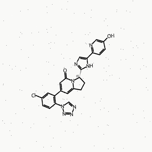 O=c1cc(-c2cc(Cl)ccc2-n2cnnn2)cc2n1[C@H](c1ncc(-c3ccc(O)cn3)[nH]1)CC2